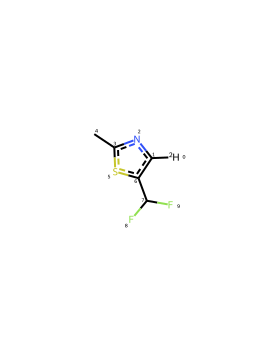 [2H]c1nc(C)sc1C(F)F